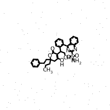 CCCC1(CCc2ccccc2)CC(O)=C(C(CC)c2ccccc2-c2nc(S(N)(=O)=O)nc3ccccc23)C(=O)O1